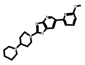 COc1cccc(-c2cnc3nc(N4CCC(N5CCCCC5)CC4)oc3c2)n1